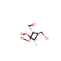 CCOC1(OCC)[C@H](CO)[C@@H](CO)[C@@H]1F